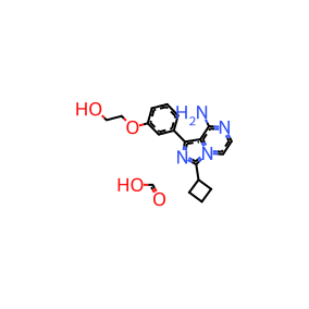 Nc1nccn2c(C3CCC3)nc(-c3cccc(OCCO)c3)c12.O=CO